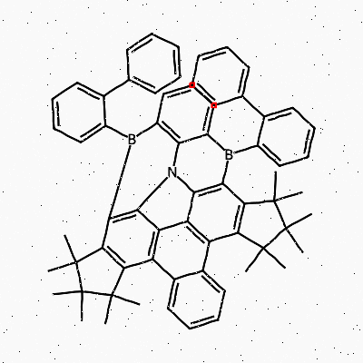 CC1(C)c2c(c3c4ccccc4c4c5c(c6c7c4c3c3c2B(c2ccccc2-c2ccccc2)c2cccc(c2-n37)B6c2ccccc2-c2ccccc2)C(C)(C)C(C)(C)C5(C)C)C(C)(C)C1(C)C